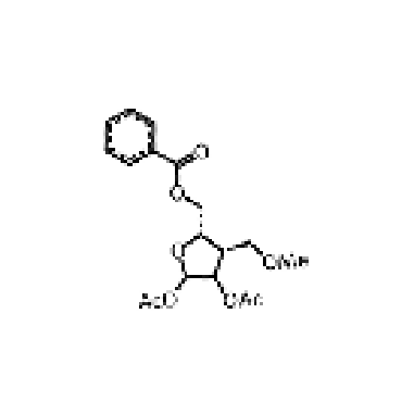 COC[C@@H]1[C@@H](COC(=O)c2ccccc2)OC(OC(C)=O)[C@@H]1OC(C)=O